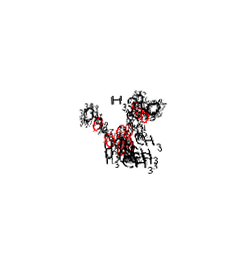 CC(C)C1=CC2CC3(C=O)C4CCC(C)C4CC2(COC24OC5OC(C(OCCCOCc6ccccc6)C5O2)C4O[Si](C)(C)C(C)(C)C)C13C(=O)OC(c1ccccc1)c1ccccc1